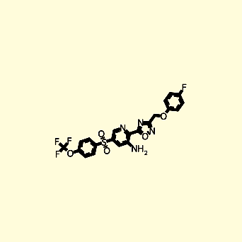 Nc1cc(S(=O)(=O)c2ccc(OC(F)(F)F)cc2)cnc1-c1nc(COc2ccc(F)cc2)no1